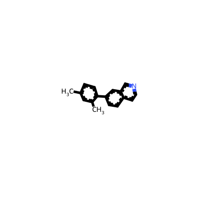 Cc1ccc(-c2ccc3ccncc3c2)c(C)c1